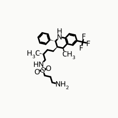 C[C@H](CC[C@@H]1[C@H](C)c2cc(C(F)(F)F)ccc2N[C@H]1c1ccccc1)CNS(=O)(=O)CCCN